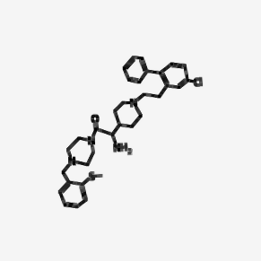 CSc1ccccc1CN1CCN(C(=O)C(N)C2CCN(CCc3cc(Cl)ccc3-c3ccccc3)CC2)CC1